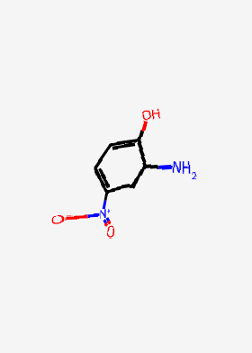 NC1CC([N+](=O)[O-])=CC=C1O